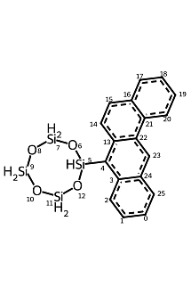 c1ccc2c([SiH]3O[SiH2]O[SiH2]O[SiH2]O3)c3ccc4ccccc4c3cc2c1